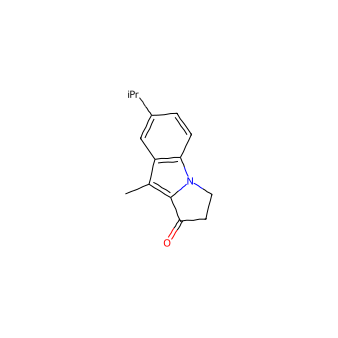 Cc1c2n(c3ccc(C(C)C)cc13)CCC2=O